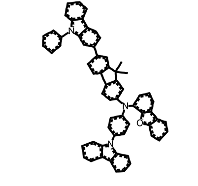 CC1(C)c2cc(-c3ccc4c5ccccc5n(-c5ccccc5)c4c3)ccc2-c2ccc(N(c3ccc(-n4c5ccccc5c5ccccc54)cc3)c3cccc4c3oc3ccccc34)cc21